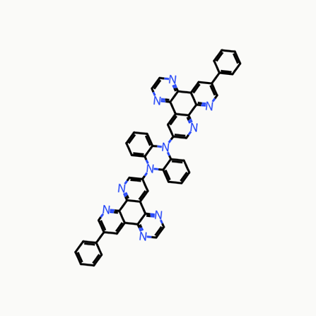 c1ccc(-c2cnc3c(c2)c2nccnc2c2cc(N4c5ccccc5N(c5cnc6c(c5)c5nccnc5c5cc(-c7ccccc7)cnc56)c5ccccc54)cnc23)cc1